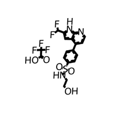 O=C(O)C(F)(F)F.O=S(=O)(NCCO)c1ccc(-c2ccnc3[nH]c(C(F)F)cc23)cc1